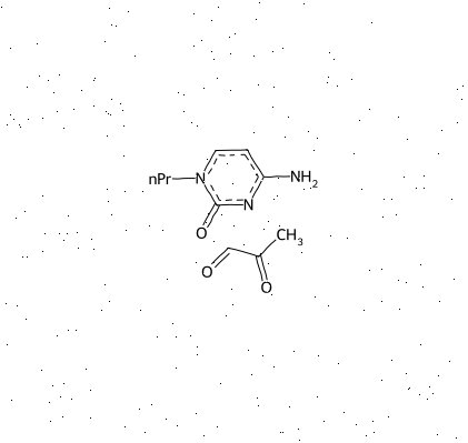 CC(=O)C=O.CCCn1ccc(N)nc1=O